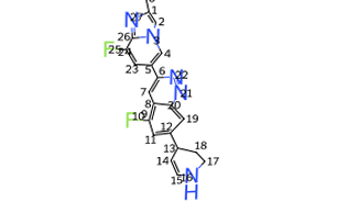 Cc1cn2cc(-c3cc4c(F)cc(C5C=CNCC5)cc4nn3)cc(F)c2n1